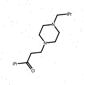 CC(C)CN1CCN(CCC(=O)C(C)C)CC1